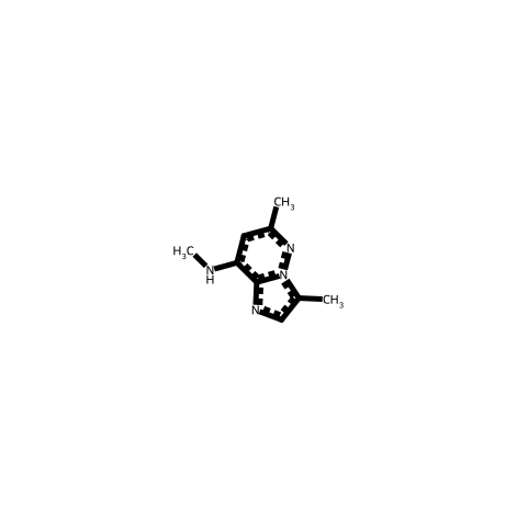 CNc1cc(C)nn2c(C)cnc12